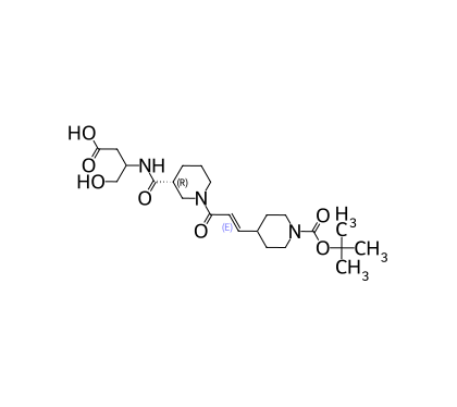 CC(C)(C)OC(=O)N1CCC(/C=C/C(=O)N2CCC[C@@H](C(=O)NC(CO)CC(=O)O)C2)CC1